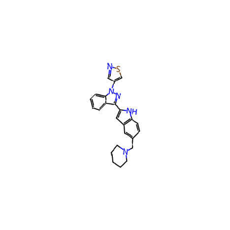 c1ccc2c(c1)c(-c1cc3cc(CN4CCCCC4)ccc3[nH]1)nn2-c1cnsc1